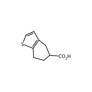 O=C(O)C1CCc2sccc2C1